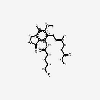 COC(=O)CC/C(C)=C/Cc1c(OC)c(C)c2c(c1OC(=O)CCCCBr)C(=O)OC2